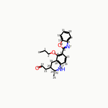 CCCOc1c(-c2nc3ccccc3o2)ccc2c1CC(CC=O)[C@H](C)N2